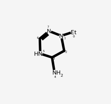 CCN1CC(N)NC=N1